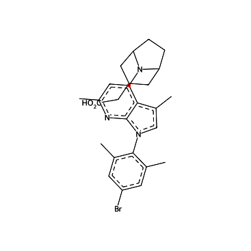 Cc1cc(N2C3CCC2CC(CC(=O)O)C3)c2c(C)cn(-c3c(C)cc(Br)cc3C)c2n1